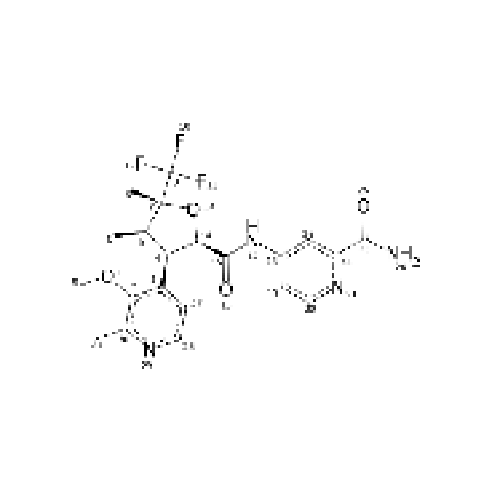 COc1c([C@H]2[C@@H](C)[C@](C)(C(F)(F)F)O[C@H]2C(=O)Nc2ccnc(C(N)=O)c2)ccnc1C